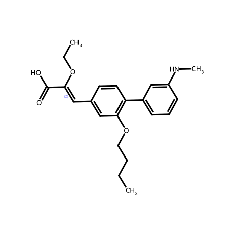 CCCCOc1cc(/C=C(\OCC)C(=O)O)ccc1-c1cccc(NC)c1